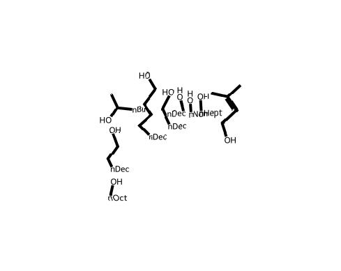 CC(C)=CCO.CCCCC(C)O.CCCCCCCCCCCCCCO.CCCCCCCCCCCCO.CCCCCCCCCCCO.CCCCCCCCCCO.CCCCCCCCCO.CCCCCCCCO.CCCCCCCO